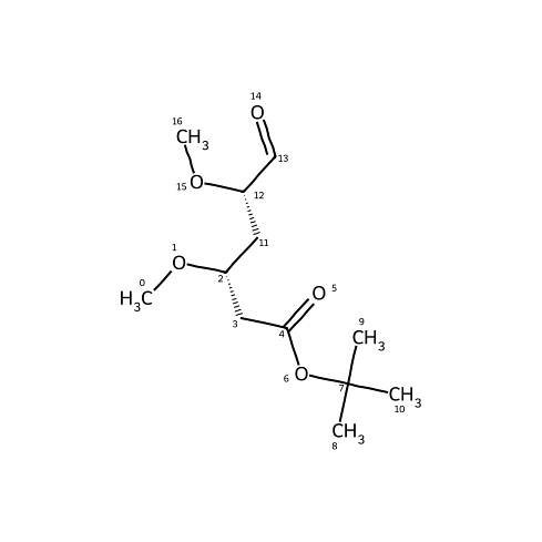 CO[C@@H](CC(=O)OC(C)(C)C)C[C@@H](C=O)OC